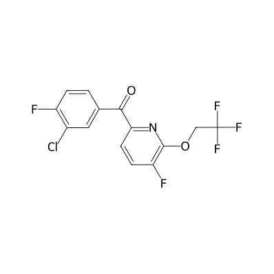 O=C(c1ccc(F)c(Cl)c1)c1ccc(F)c(OCC(F)(F)F)n1